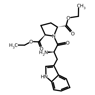 CCOC(=O)[C@H]1CC[C@H](C(=O)OCC)N1C(=O)[C@H](N)Cc1c[nH]c2ccccc12